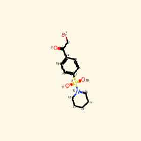 O=C(CBr)c1ccc(S(=O)(=O)N2CCCCC2)cc1